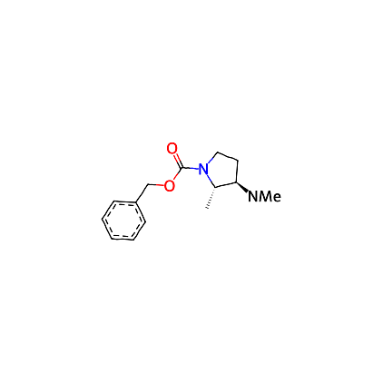 CN[C@@H]1CCN(C(=O)OCc2ccccc2)[C@H]1C